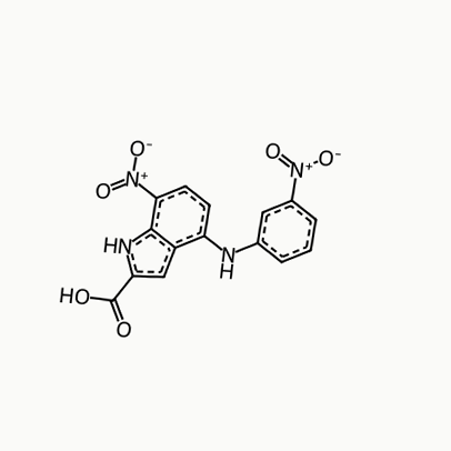 O=C(O)c1cc2c(Nc3cccc([N+](=O)[O-])c3)ccc([N+](=O)[O-])c2[nH]1